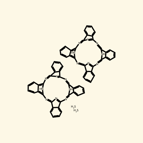 S.S.c1ccc2c(c1)-c1nc-2nc2[nH]c(nc3nc(nc4[nH]c(n1)c1ccccc41)-c1ccccc1-3)c1ccccc21.c1ccc2c(c1)-c1nc-2nc2[nH]c(nc3nc(nc4[nH]c(n1)c1ccccc41)-c1ccccc1-3)c1ccccc21